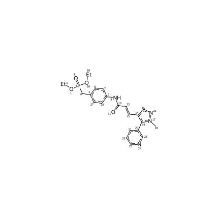 CCOP(=O)(Cc1ccc(NC(=O)C=Cc2cnn(C)c2-c2cccnc2)cc1)OCC